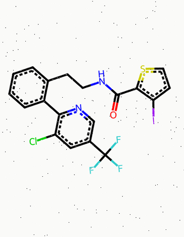 O=C(NCCc1ccccc1-c1ncc(C(F)(F)F)cc1Cl)c1sccc1I